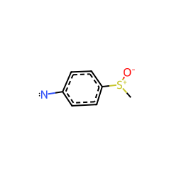 C[S+]([O-])c1ccc([N])cc1